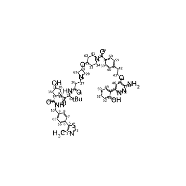 Cc1ncsc1-c1ccc(CNC(=O)[C@@H]2C[C@@H](O)CN2C(=O)[C@@H](NC(=O)CCN2CC(OC3CCN(C(=O)c4ccc(CCOc5cc(-c6ccccc6O)nnc5N)cc4)CC3)C2)C(C)(C)C)cc1